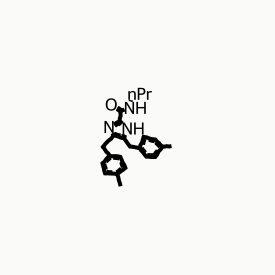 CCCNC(=O)c1nc(Cc2ccc(C)cc2)c(Cc2ccc(C)cc2)[nH]1